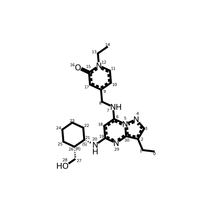 CCc1cnn2c(NCc3ccn(CC)c(=O)c3)cc(N[C@H]3CCCC[C@H]3CO)nc12